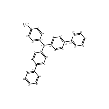 Cc1ccc(N(c2ccc(-c3ccccc3)cc2)c2ccc(-c3ccccn3)cc2)cc1